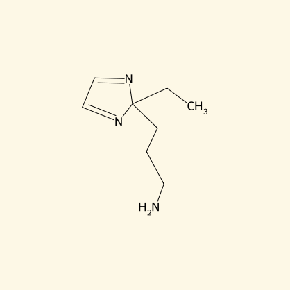 CCC1(CCCN)N=CC=N1